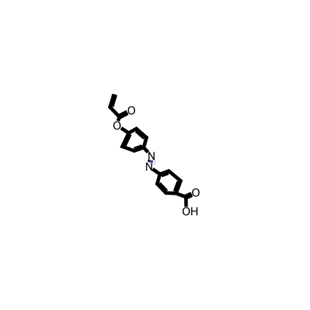 C=CC(=O)Oc1ccc(/N=N/c2ccc(C(=O)O)cc2)cc1